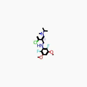 C=C(Cl)/C(=C\N(C)C(C)C)CNc1c(F)c(OC)cc(OC)c1F